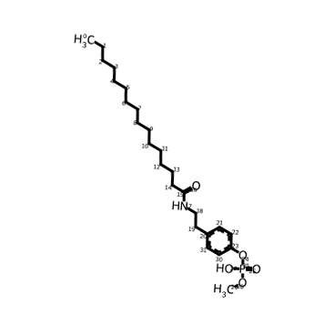 CCCCCCCCCCCCCCCC(=O)NCCc1ccc(OP(=O)(O)OC)cc1